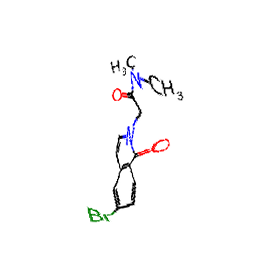 CN(C)C(=O)Cn1ccc2cc(Br)ccc2c1=O